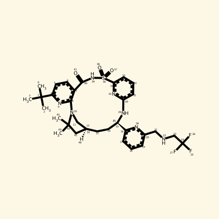 CC(C)(C)c1ccc2c(n1)N1C[C@@H](CC[C@H](c3cccc(CNCC(F)(F)F)n3)Nc3cccc(n3)S(=O)(=O)NC2=O)CC1(C)C